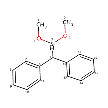 CO[SiH](OC)C(c1ccccc1)c1ccccc1